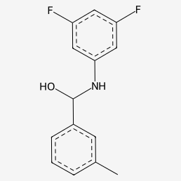 Cc1cccc(C(O)Nc2cc(F)cc(F)c2)c1